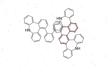 c1ccc2c(c1)Nc1ccccc1-c1c-2cccc1-c1ccccc1-c1cccc(-c2ccccc2-c2cccc3c2-c2ccccc2Nc2ccccc2-3)c1-c1ccccc1-c1cccc2c1-c1ccccc1Nc1ccccc1-2